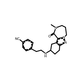 CN1CCCn2nc3c(c2C1=O)CC(NCCc1ccc(C#N)cc1)CC3